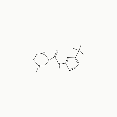 CN1CCOC(C(=O)Nc2cccc(C(C)(C)C)c2)C1